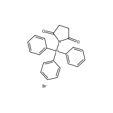 O=C1CCC(=O)N1[P+](c1ccccc1)(c1ccccc1)c1ccccc1.[Br-]